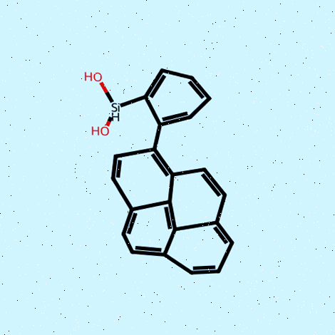 O[SiH](O)c1ccccc1-c1ccc2ccc3cccc4ccc1c2c34